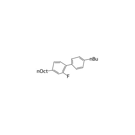 CCCCCCCCc1ccc(-c2ccc(CCCC)cc2)c(F)c1